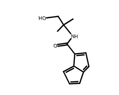 CC(C)(CO)NC(=O)C1=CC=C2C=CC=C21